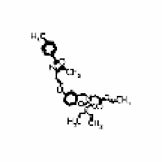 CCOC(=O)CN(Cc1cccc(OCCc2nc(-c3ccc(C)cc3)oc2C)c1)S(=O)(=O)N(CC)CC